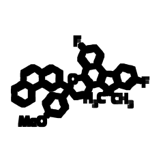 COc1ccc(C2(c3ccc4ccc5ccccc5c4c3)C=Cc3c4c(c5ccc(F)cc5c3O2)-c2ccc(F)cc2C4(C)C)cc1